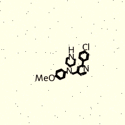 COc1ccc(N(Cc2ccnc(-c3ccc(Cl)cc3)c2)C2CCNCC2)cc1